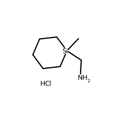 C[Si]1(CN)CCCCC1.Cl